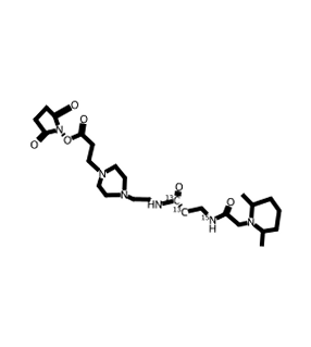 CC1CCCC(C)N1CC(=O)[15NH]C[13CH2][13C](=O)NCCN1CCN(CCC(=O)ON2C(=O)CCC2=O)CC1